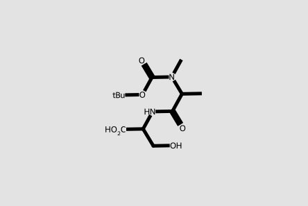 CC(C(=O)NC(CO)C(=O)O)N(C)C(=O)OC(C)(C)C